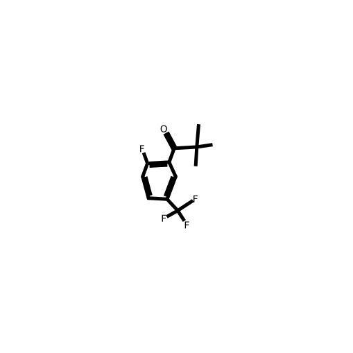 CC(C)(C)C(=O)c1cc(C(F)(F)F)ccc1F